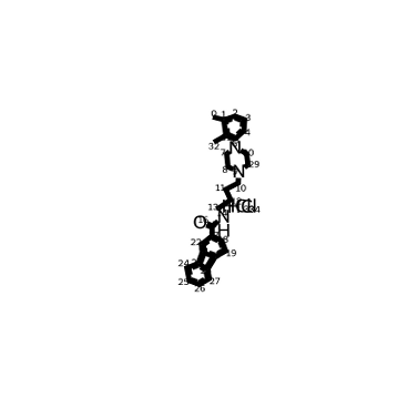 Cc1cccc(N2CCN(CCCCNC(=O)c3ccc4c(c3)=c3ccccc3=4)CC2)c1C.Cl.Cl